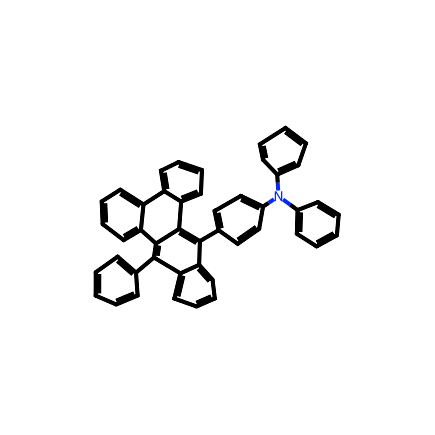 c1ccc(-c2c3ccccc3c(-c3ccc(N(c4ccccc4)c4ccccc4)cc3)c3c4ccccc4c4ccccc4c23)cc1